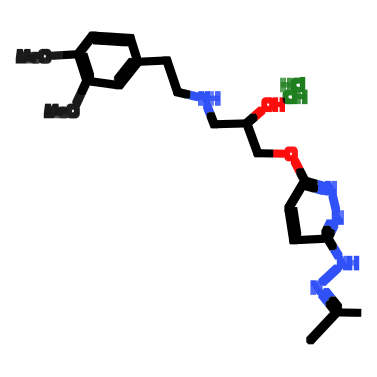 COc1ccc(CCNCC(O)COc2ccc(NN=C(C)C)nn2)cc1OC.Cl.Cl